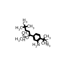 C[SiH](C)OC(CCC(C)(C)C)c1ccc(C(C)(C)C)c(N)c1